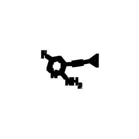 Nc1ncc(F)cc1C#CC1CC1